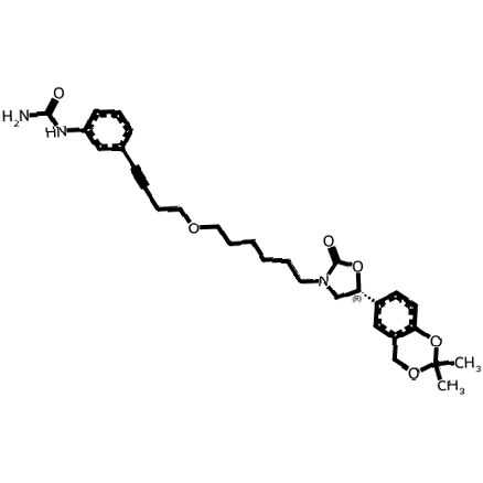 CC1(C)OCc2cc([C@@H]3CN(CCCCCCOCCC#Cc4cccc(NC(N)=O)c4)C(=O)O3)ccc2O1